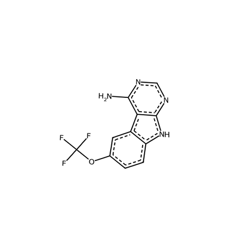 Nc1ncnc2[nH]c3ccc(OC(F)(F)F)cc3c12